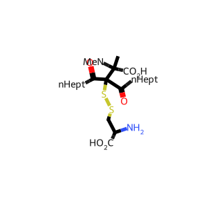 CCCCCCCC(=O)C(SSCC(N)C(=O)O)(C(=O)CCCCCCC)C(C)(NC)C(=O)O